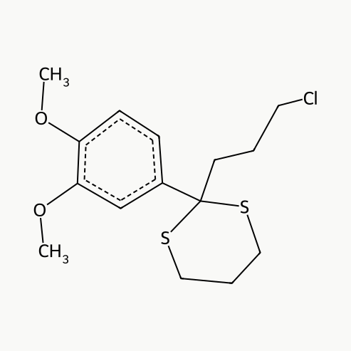 COc1ccc(C2(CCCCl)SCCCS2)cc1OC